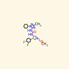 COCCN1C[C@@H](NC(=O)Nc2nc(C)nn2-c2ccccc2)[C@H](c2ccc(F)c(F)c2)C1